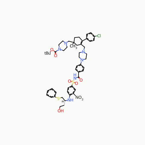 CC1(CN2CCN(C(=O)OC(C)(C)C)CC2)CCC(c2ccc(Cl)cc2)=C(CN2CCN(c3ccc(C(=O)NS(=O)(=O)c4ccc(N[C@H](CCO)CSc5ccccc5)c([N+](=O)[O-])c4)cc3)CC2)C1